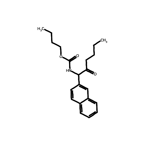 CCCCOC(=O)NC(C(=O)CCCC)c1ccc2ccccc2c1